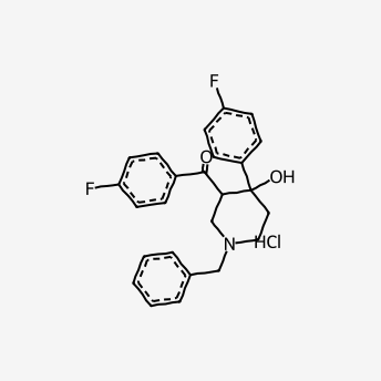 Cl.O=C(c1ccc(F)cc1)C1CN(Cc2ccccc2)CCC1(O)c1ccc(F)cc1